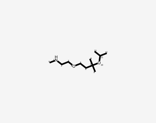 CNCCOCCC(C)(C)OC(C)C